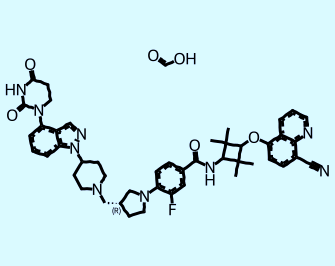 CC1(C)C(NC(=O)c2ccc(N3CC[C@H](CN4CCC(n5ncc6c(N7CCC(=O)NC7=O)cccc65)CC4)C3)c(F)c2)C(C)(C)C1Oc1ccc(C#N)c2ncccc12.O=CO